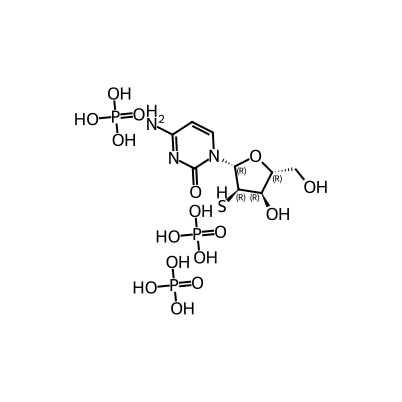 Nc1ccn([C@@H]2O[C@H](CO)[C@@H](O)[C@H]2S)c(=O)n1.O=P(O)(O)O.O=P(O)(O)O.O=P(O)(O)O